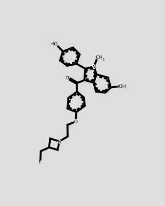 Cn1c(-c2ccc(O)cc2)c(C(=O)c2ccc(OCCN3CC(CF)C3)cc2)c2ccc(O)cc21